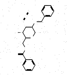 CO[C@@H]1OC(COC(=O)c2ccccc2)[C@@H](O)[C@H](N=[N+]=[N-])C1OCc1ccccc1